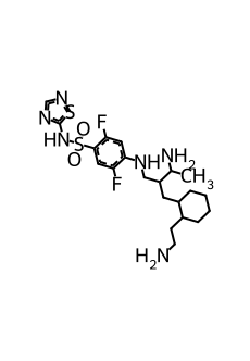 CC(N)C(CNc1cc(F)c(S(=O)(=O)Nc2ncns2)cc1F)CC1CCCCC1CCN